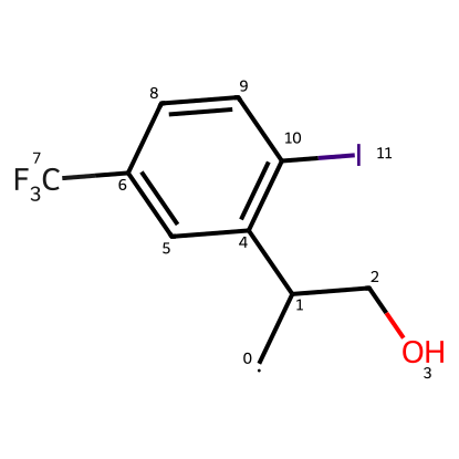 [CH2]C(CO)c1cc(C(F)(F)F)ccc1I